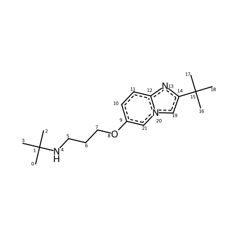 CC(C)(C)NCCCOc1ccc2nc(C(C)(C)C)cn2c1